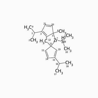 CC(C)C1=C[C](C)([Zr]([SiH](C)C)[C]2(C)C=CC(C(C)C)=C2)C=C1